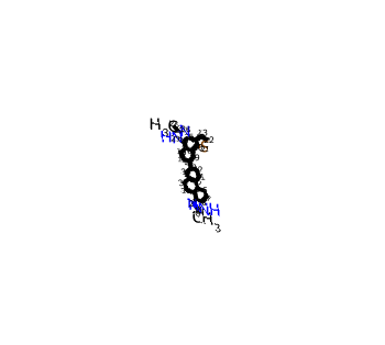 Cc1nc2c3c(ccc2[nH]1)-c1ccc(-c2ccc4c(c2)c2sccc2c2nc(C)[nH]c42)cc1CC3